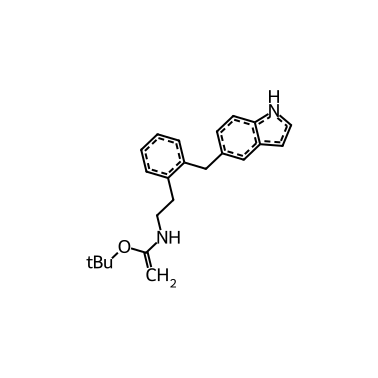 C=C(NCCc1ccccc1Cc1ccc2[nH]ccc2c1)OC(C)(C)C